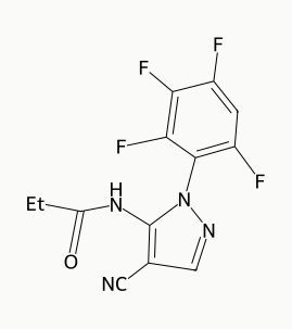 CCC(=O)Nc1c(C#N)cnn1-c1c(F)cc(F)c(F)c1F